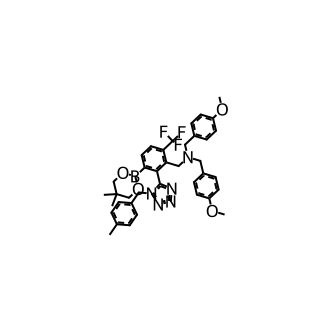 COc1ccc(CN(Cc2ccc(OC)cc2)Cc2c(C(F)(F)F)ccc(B3OCC(C)(C)CO3)c2-c2nnnn2Cc2ccc(C)cc2)cc1